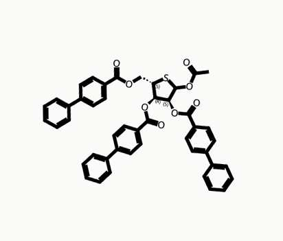 CC(=O)OC1S[C@@H](COC(=O)c2ccc(-c3ccccc3)cc2)[C@H](OC(=O)c2ccc(-c3ccccc3)cc2)[C@@H]1OC(=O)c1ccc(-c2ccccc2)cc1